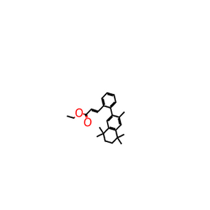 CCOC(=O)/C=C/c1ccccc1-c1cc2c(cc1C)C(C)(C)CCC2(C)C